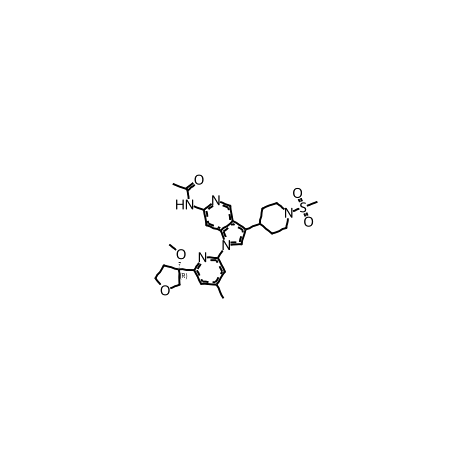 CO[C@@]1(c2cc(C)cc(-n3cc(C4CCN(S(C)(=O)=O)CC4)c4cnc(NC(C)=O)cc43)n2)CCOC1